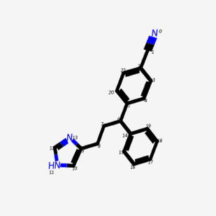 N#Cc1ccc(C(CCc2c[nH]cn2)c2ccccc2)cc1